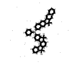 CC1(C)c2cc3ccccc3cc2-c2cc3ccc(N(c4ccccc4)c4ccc5c(c4)C(C)(C)c4ccc6c(c4-5)-c4ccccc4C6(C)C)cc3cc21